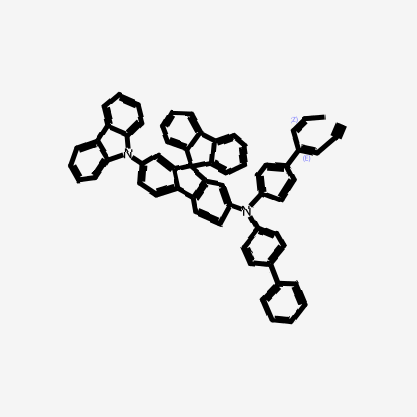 C#C/C=C(\C=C/C)c1ccc(N(c2ccc(-c3ccccc3)cc2)c2ccc3c(c2)C2(c4ccccc4-c4ccccc42)c2cc(-n4c5ccccc5c5ccccc54)ccc2-3)cc1